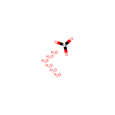 O.O.O.O.O.O.[O]=[Fe](=[O])=[O]